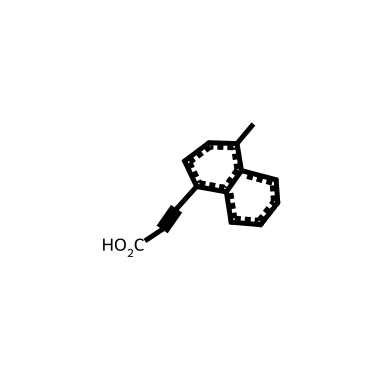 Cc1ccc(C#CC(=O)O)c2ccccc12